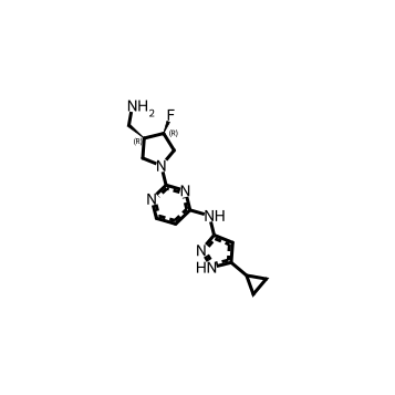 NC[C@@H]1CN(c2nccc(Nc3cc(C4CC4)[nH]n3)n2)C[C@@H]1F